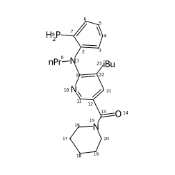 CCCN(c1ccccc1P)c1ncc(C(=O)N2CCCCC2)cc1C(C)CC